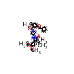 CCCC1(C)C(=O)N(C2CCN(C(=O)c3cc(OCc4ccccc4)ccc3C)CC2)N=C1c1ccc(OC)c(OC)c1